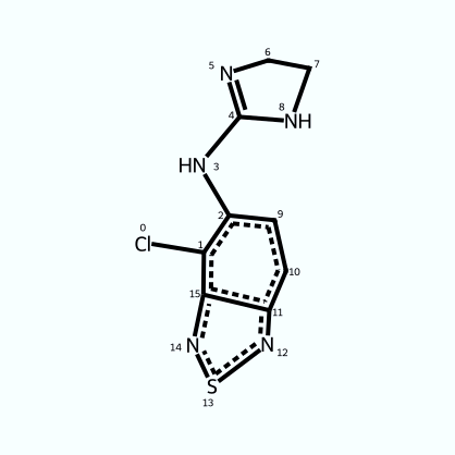 Clc1c(NC2=NCCN2)ccc2nsnc12